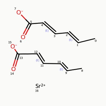 C/C=C/C=C/C(=O)[O-].C/C=C/C=C/C(=O)[O-].[Sr+2]